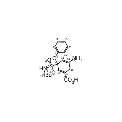 CCCCNS(=O)(=O)C1(Oc2ccccc2)C=C(N)CC(C(=O)O)=C1